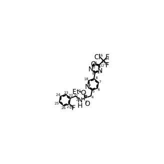 CCOP(=O)(Cc1ccc(-c2noc(C(F)(F)Cl)n2)cn1)NCc1ccccc1F